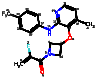 C=C(F)C(=O)N1CC(Oc2c(C)ccnc2Nc2ccc(C(F)(F)F)cc2)C1